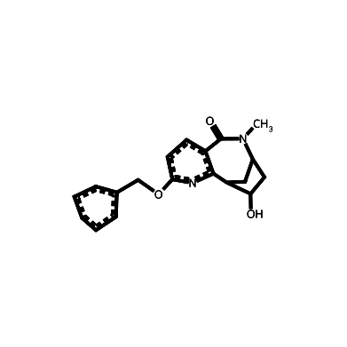 CN1C(=O)c2ccc(OCc3ccccc3)nc2C2CC1CC2O